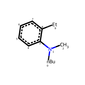 CCCCN(C)c1ccccc1CC